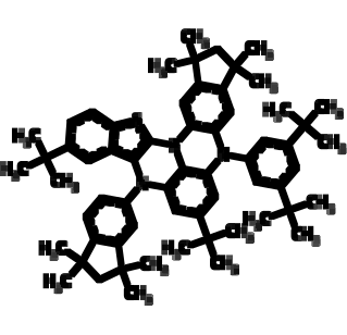 CC(C)(C)c1cc(N2c3cc4c(cc3B3c5sc6ccc(C(C)(C)C)cc6c5N(c5ccc6c(c5)C(C)(C)CC6(C)C)c5cc(C(C)(C)C)cc2c53)C(C)(C)CC4(C)C)cc(C(C)(C)C)c1